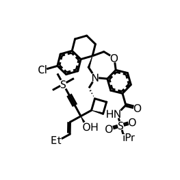 CC/C=C/[C@](O)(C#CS(C)(C)C)[C@@H]1CC[C@H]1CN1C[C@@]2(CCCc3cc(Cl)ccc32)COc2ccc(C(=O)NS(=O)(=O)C(C)C)cc21